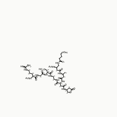 CCCCCCCCCCCCCC(=O)NCC(CC(=O)NC(C)CC(=O)NC(CC(=O)NC1COC(=O)C1)C(=O)NCCNC(=O)C(CC(=O)O)NC(=O)CNC(=O)C(CCCNC(=N)N)NC(C)=O)NC(C)=O